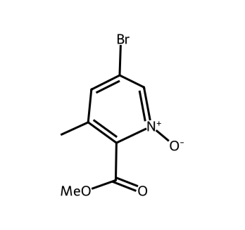 COC(=O)c1c(C)cc(Br)c[n+]1[O-]